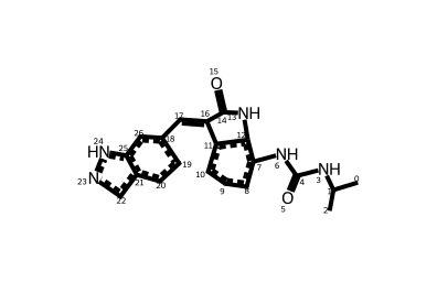 CC(C)NC(=O)Nc1cccc2c1NC(=O)/C2=C/c1ccc2cn[nH]c2c1